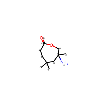 CC1(C)CCC(=O)OCC(C)(N)C1